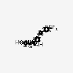 O=C(Nc1c[nH]c2ccc(O[C@H]3C[C@@H](c4ccc(C(F)(F)F)cc4)C3)cc12)C1CC(O)C1